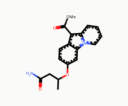 COC(=O)c1c2ccc(OC(C)CC(N)=O)cc2n2ccccc12